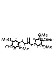 COc1cc(CCNCc2cc(OC)c(OC)c(OC)c2)c(OC)cc1Cl